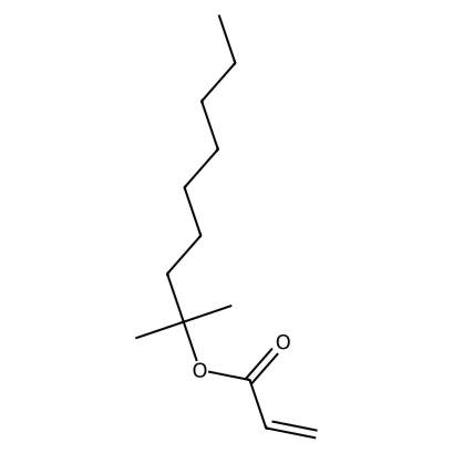 C=CC(=O)OC(C)(C)CCCCCCC